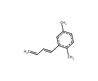 C=CC=Cc1cc(C)ccc1C